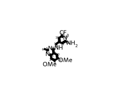 COc1cc2nc(C)nc(NCc3cc(N)nc(C(F)(F)F)c3)c2cc1OC